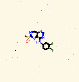 C[S+]([O-])c1ncc2ncnc(Nc3ccc(F)c(F)c3)c2n1